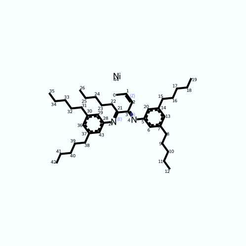 C\C=C/C(=N\c1cc(CCCCC)cc(CCCCC)c1)C(/CCCCC)=N/c1cc(CCCCC)cc(CCCCC)c1.[Ni]